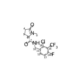 CN1C(=O)CC[C@H]1C(=O)NCc1ccc(F)c(C(F)(F)F)c1Cl